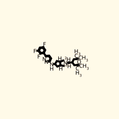 [2H]C([2H])(C1CC(C)(C)OC(C)(C)C1)N1C[C@H]2CC(Nc3ccc(-c4cc(F)cc(F)c4F)nn3)C[C@H]2C1